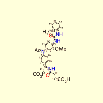 COc1cc(N(C(C)=O)c2ccc([C@@H](CC(=O)O)NC(=O)CCC(=O)O)cc2)ccc1NC(=O)Nc1ccccc1C